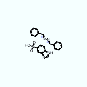 C(=N\N=C\c1ccccc1)/c1ccccc1.O=S(=O)(O)c1ccc2[nH]cnc2c1